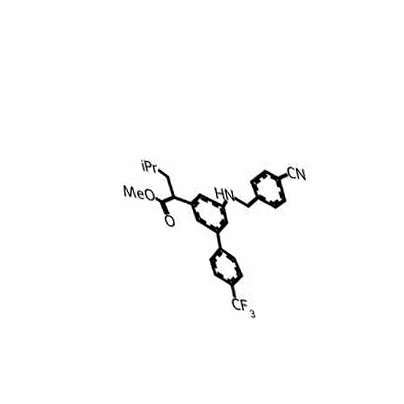 COC(=O)C(CC(C)C)c1cc(NCc2ccc(C#N)cc2)cc(-c2ccc(C(F)(F)F)cc2)c1